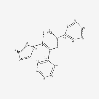 OC(CC(=C(F)n1ccnc1)c1ccccc1)c1ccccc1